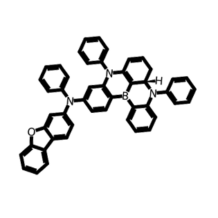 C1=CC2=C3B(c4ccc(N(c5ccccc5)c5ccc6c(c5)oc5ccccc56)cc4N2c2ccccc2)c2ccccc2N(c2ccccc2)[C@H]3C1